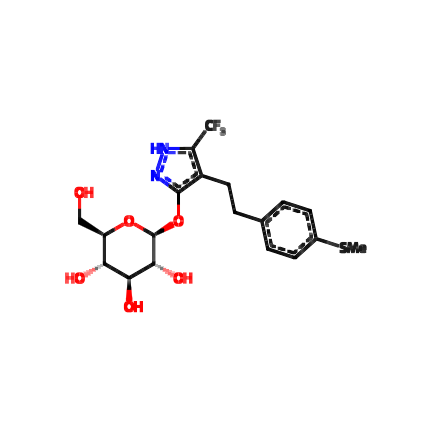 CSc1ccc(CCc2c(O[C@@H]3O[C@H](CO)[C@@H](O)[C@H](O)[C@H]3O)n[nH]c2C(F)(F)F)cc1